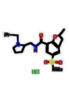 CNS(=O)(=O)c1cc2c(c(C(=O)NCC3CCCN3CC(C)C)c1)OC(C)C2.Cl